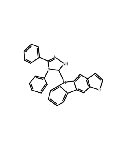 c1ccc(C2=NNC(n3c4ccccc4c4cc5occc5cc43)N2c2ccccc2)cc1